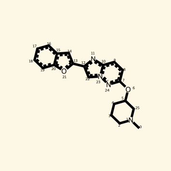 CN1CCCC(Oc2ccc3nc(-c4cc5ccccc5o4)cn3n2)C1